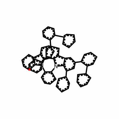 c1ccc(-c2ccccc2-c2cc(-c3ccccc3)c3c(c2)c2cc(-c4ccccc4-c4ccccc4)cc(-c4ccccc4)c2n3-c2ccccc2-n2c3ccccc3c3ccccc32)cc1